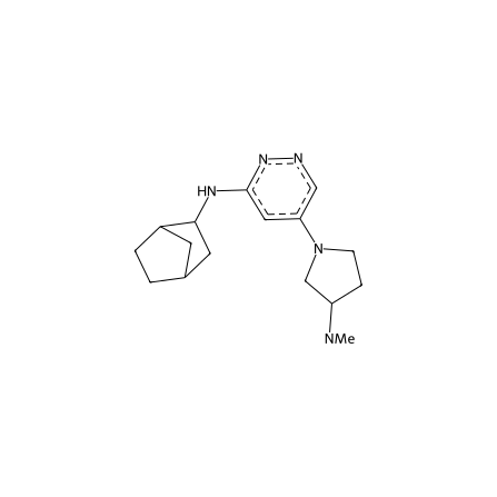 CNC1CCN(c2cnnc(NC3CC4CCC3C4)c2)C1